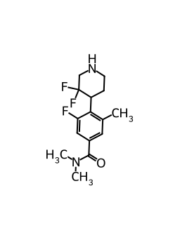 Cc1cc(C(=O)N(C)C)cc(F)c1C1CCNCC1(F)F